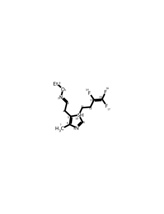 CCO/N=C/CC1=C(C)N=C[SH]1CCC(F)=C(F)F